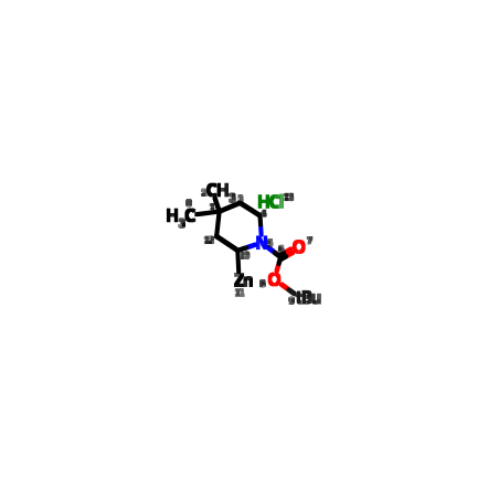 CC1(C)CCN(C(=O)OC(C)(C)C)[CH]([Zn])C1.Cl